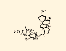 CC(C)[C@H](NC(=O)CC[C@@H](C)[C@H]1CCC2[C@@H]3CC[C@@H]4C[C@H](O)CC[C@]4(C)C3CC[C@@]21C)C(=O)N[C@H](C(=O)O)C(C)O